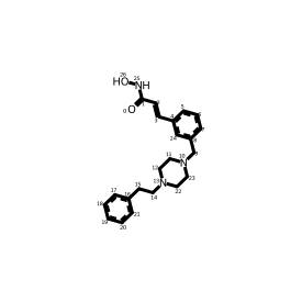 O=C(C=Cc1cccc(CN2CCN(CCc3ccccc3)CC2)c1)NO